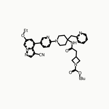 CCOc1cc(-c2ccc(N3CCC(Cc4ccccn4)(NC(=O)CC4CN(C(=O)OC(C)(C)C)C4)CC3)nc2)c2c(C#N)cnn2c1